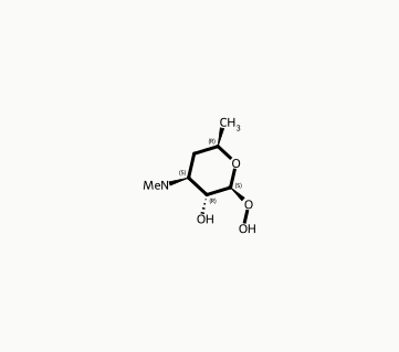 CN[C@H]1C[C@@H](C)O[C@@H](OO)[C@@H]1O